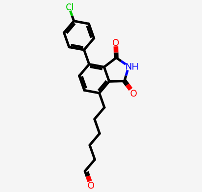 O=CCCCCCc1ccc(-c2ccc(Cl)cc2)c2c1C(=O)NC2=O